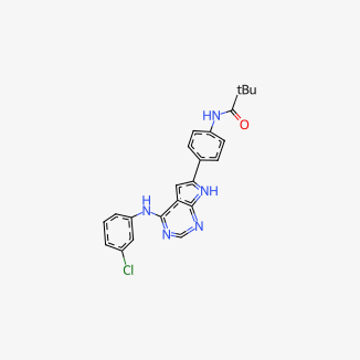 CC(C)(C)C(=O)Nc1ccc(-c2cc3c(Nc4cccc(Cl)c4)ncnc3[nH]2)cc1